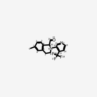 Cc1ccc2c(c1)CCN(c1cnccc1C(F)(F)F)C2C=O